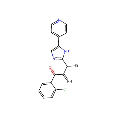 CCC(C(=N)C(=O)c1ccccc1Cl)c1ncc(-c2ccncc2)[nH]1